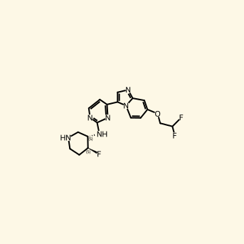 FC(F)COc1ccn2c(-c3ccnc(N[C@H]4CNCC[C@@H]4F)n3)cnc2c1